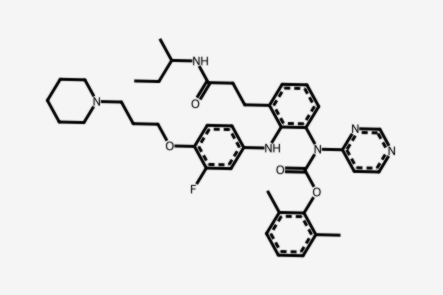 CCC(C)NC(=O)CCc1cccc(N(C(=O)Oc2c(C)cccc2C)c2ccncn2)c1Nc1ccc(OCCCN2CCCCC2)c(F)c1